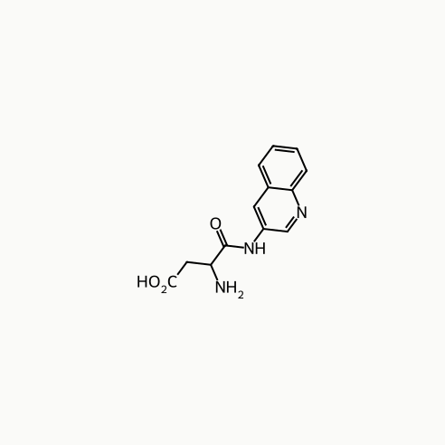 NC(CC(=O)O)C(=O)Nc1cnc2ccccc2c1